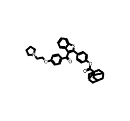 O=C(c1ccc(OCCN2CCCC2)cc1)c1c(-c2ccc(OC(=O)C34CC5CC(CC(C5)C3)C4)cc2)sc2ccccc12